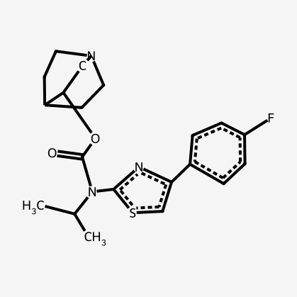 CC(C)N(C(=O)OC1CN2CCC1CC2)c1nc(-c2ccc(F)cc2)cs1